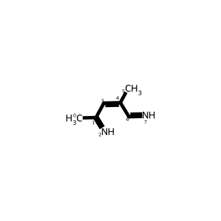 CC(=N)/C=C(/C)C=N